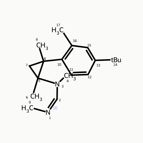 C/N=C\N(C)C1(C)CC1(C)c1ccc(C(C)(C)C)cc1C